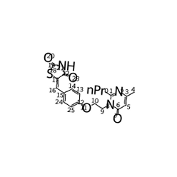 CCCc1nc(C)cc(=O)n1CCOc1ccc(C=C2SC(=O)NC2=O)cc1